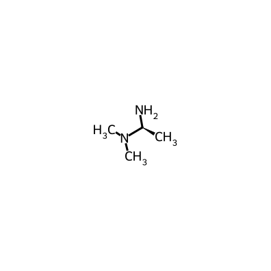 C[C@H](N)N(C)C